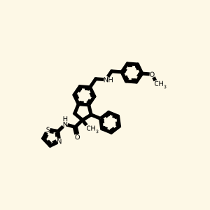 COc1ccc(CNCc2ccc3c(c2)C(c2ccccc2)C(C)(C(=O)Nc2nccs2)C3)cc1